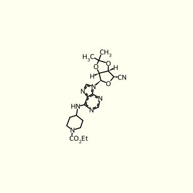 CCOC(=O)N1CCC(Nc2ncnc3c2ncn3[C@@H]2O[C@H](C#N)[C@H]3OC(C)(C)O[C@H]32)CC1